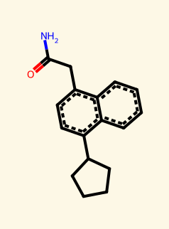 NC(=O)Cc1ccc(C2CCCC2)c2ccccc12